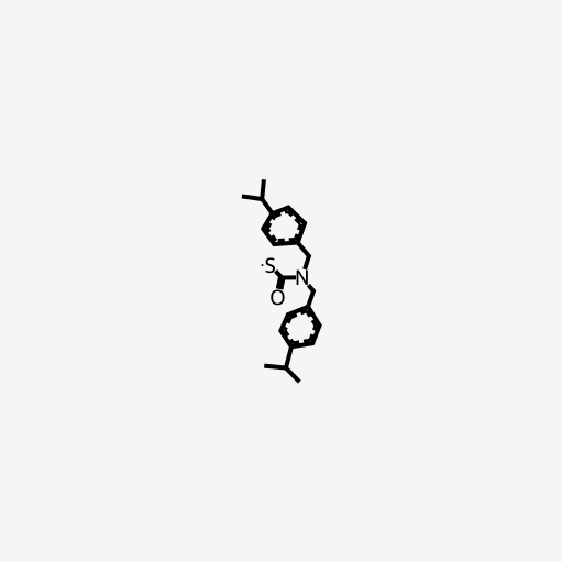 CC(C)c1ccc(CN(Cc2ccc(C(C)C)cc2)C(=O)[S])cc1